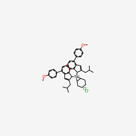 COc1ccc(-c2cccc3c2C=C(CC(C)C)[CH]3[Ti+2]2([CH]3C(CC(C)C)=Cc4c(-c5ccc(OC)cc5)cccc43)[CH]3CCCC[CH]32)cc1.[Cl-].[Cl-]